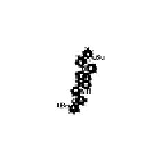 CC(C)(C)c1cccc2c1oc1c(-c3cccc4c3[nH]c3ccc5cc6c7ccccc7n(-c7cccc8c7oc7c(C(C)(C)C)cccc78)c7ccc8cc4c3c5c8c67)cccc12